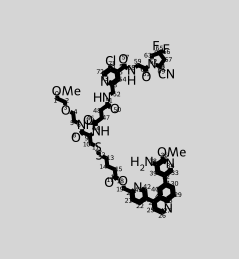 COCCOCCNC(=O)C(CSSCCCC(=O)OCc1ccc(-c2ccnc3ccc(-c4cnc(OC)c(N)c4)cc23)cn1)NC(=O)CCC(=O)NCc1cc(C(=O)NCC(=O)N2CC(F)(F)C[C@H]2C#N)c(Cl)cn1